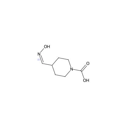 O=C(O)N1CCC(/C=N\O)CC1